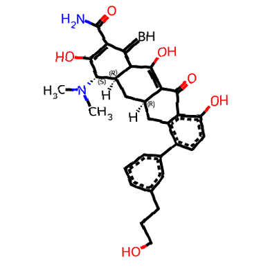 B=C1C(C(N)=O)=C(O)[C@@H](N(C)C)[C@@H]2C[C@@H]3Cc4c(-c5cccc(CCCO)c5)ccc(O)c4C(=O)C3=C(O)C12